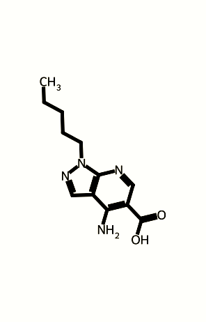 CCCCCn1ncc2c(N)c(C(=O)O)cnc21